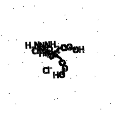 Nc1nc(N)c(C(=O)N[C@H]2CCC[N+](CCCc3ccc(OCCO)cc3)(CCCc3ccc(OCCO)cc3)C2)nc1Cl.[Cl-]